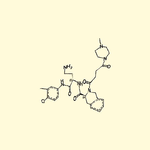 Cc1cc(NC(=O)[C@H](CCN)NC(=O)[C@@H]2Cc3ccccc3CN2C(=O)CCC(=O)N2CCN(C)CC2)ccc1Cl